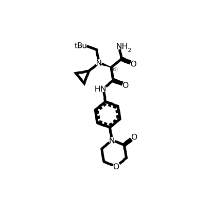 CC(C)(C)CN(C1CC1)[C@@H](C(N)=O)C(=O)Nc1ccc(N2CCOCC2=O)cc1